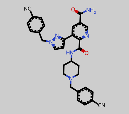 N#Cc1ccc(CN2CCC(NC(=O)c3ncc(C(N)=O)cc3-c3ccn(Cc4ccc(C#N)cc4)n3)CC2)cc1